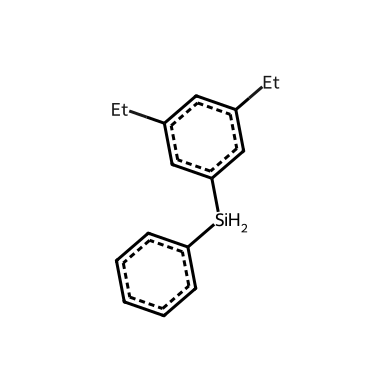 CCc1cc(CC)cc([SiH2]c2ccccc2)c1